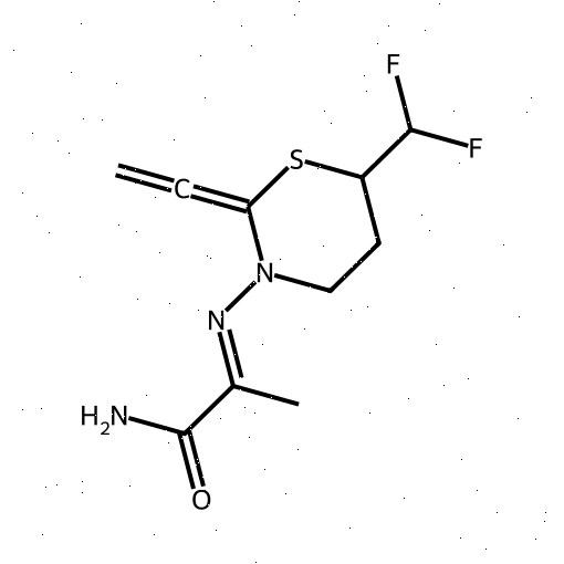 C=C=C1SC(C(F)F)CCN1/N=C(\C)C(N)=O